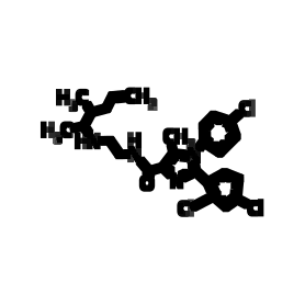 C=CCC(C)C(C)NCCNC(=O)c1nc(-c2ccc(Cl)cc2Cl)n(-c2ccc(Cl)cc2)c1C